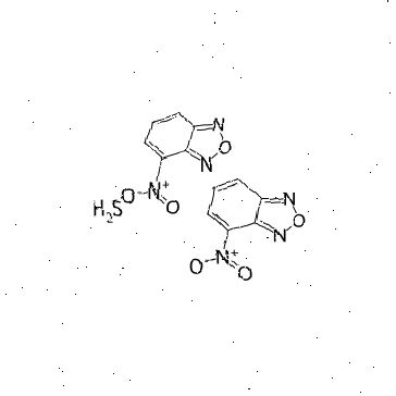 O=[N+]([O-])c1cccc2nonc12.O=[N+]([O-])c1cccc2nonc12.S